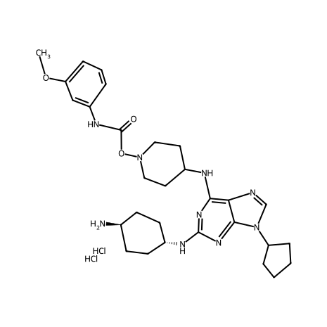 COc1cccc(NC(=O)ON2CCC(Nc3nc(N[C@H]4CC[C@H](N)CC4)nc4c3ncn4C3CCCC3)CC2)c1.Cl.Cl